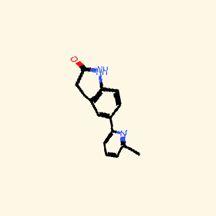 Cc1cccc(-c2ccc3c(c2)CC(=O)N3)n1